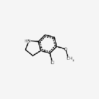 COc1ccc2c(c1Cl)CCN2